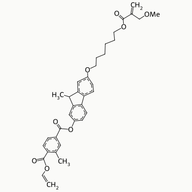 C=COC(=O)c1ccc(C(=O)Oc2ccc3c(c2)C(C)c2cc(OCCCCCCOC(=O)C(=C)COC)ccc2-3)cc1C